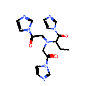 CCC(C(=O)n1ccnc1)N(CC(=O)n1ccnc1)CC(=O)n1ccnc1